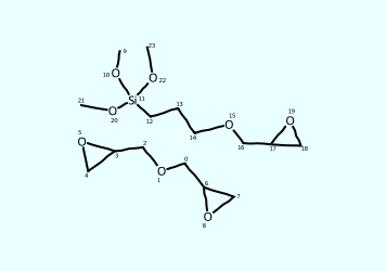 C(OCC1CO1)C1CO1.CO[Si](CCCOCC1CO1)(OC)OC